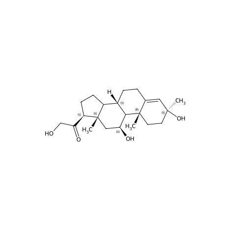 C[C@]12CC[C@](C)(O)C=C1CC[C@@H]1C2[C@@H](O)C[C@@]2(C)C1CC[C@@H]2C(=O)CO